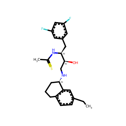 CCc1ccc2c(c1)[C@@H](NC[C@H](O)[C@H](Cc1cc(F)cc(F)c1)NC(C)=S)CCC2